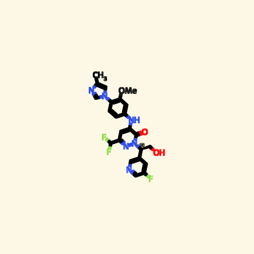 COc1cc(Nc2cc(C(F)F)nn([C@@H](CO)c3cncc(F)c3)c2=O)ccc1-n1cnc(C)c1